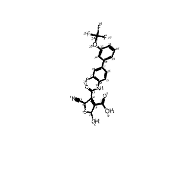 N#CC1SC(O)C(C(=O)O)=C1C(=O)Nc1ccc(-c2cccc(OC(F)(F)F)c2)cc1F